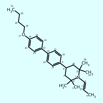 C/C=C/N1C(C)(C)CC(c2ccc(-c3ccc(OCCCC)cc3)cc2)CC1(C)C